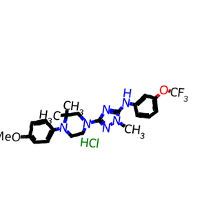 COc1ccc(N2CCN(c3nc(Nc4cccc(OC(F)(F)F)c4)n(C)n3)CC2(C)C)cc1.Cl